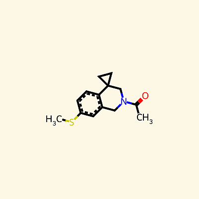 CSc1ccc2c(c1)CN(C(C)=O)CC21CC1